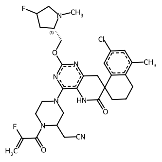 C=C(F)C(=O)N1CCN(c2nc(OC[C@@H]3CC(F)CN3C)nc3c2NC(=O)C2(CCCc4c(C)cc(Cl)cc42)C3)CC1CC#N